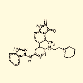 O=c1[nH][nH]c2ccc(-c3cc(Nc4n[nH]c5ccccc45)nnc3NCCN3CCCCC3)c(C(F)(F)F)c12